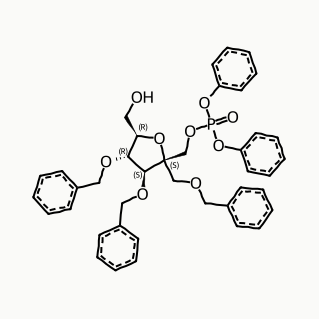 O=P(OC[C@]1(COCc2ccccc2)O[C@H](CO)[C@@H](OCc2ccccc2)[C@@H]1OCc1ccccc1)(Oc1ccccc1)Oc1ccccc1